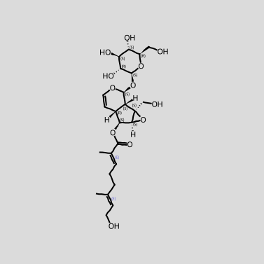 C/C(=C\CO)CC/C=C(\C)C(=O)O[C@H]1[C@@H]2C=CO[C@@H](O[C@@H]3O[C@H](CO)[C@@H](O)[C@H](O)[C@H]3O)[C@@H]2[C@@]2(CO)O[C@@H]12